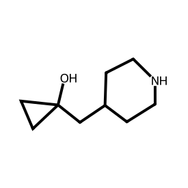 OC1(CC2CCNCC2)CC1